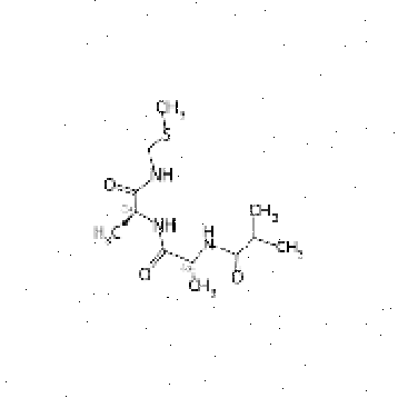 CSCNC(=O)[C@H](C)NC(=O)[C@@H](C)NC(=O)C(C)C